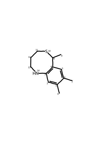 Cc1cc2c(cc1C)C(C)SCCCN2